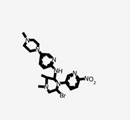 CC1C(Nc2ccc(N3CCN(C)CC3)cn2)N(c2ccc([N+](=O)[O-])nc2)C(Br)CN1C